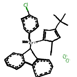 [CH2]=[Zr+2]([C]1=CC(C(C)(C)C)=CC1C)([c]1ccc(Cl)cc1)[CH]1c2ccccc2-c2ccccc21.[Cl-].[Cl-]